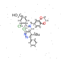 CCCCc1c(-c2ccccc2)nnc(Cl)c1CN(Cc1ccc2c(c1)OCCO2)Cc1ccc(C(=O)O)cc1Cl